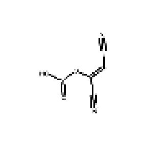 N#CC=C(C#N)OS(=O)O